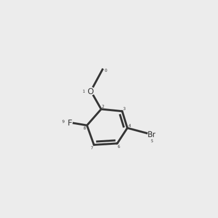 COC1C=C(Br)C=C[C]1F